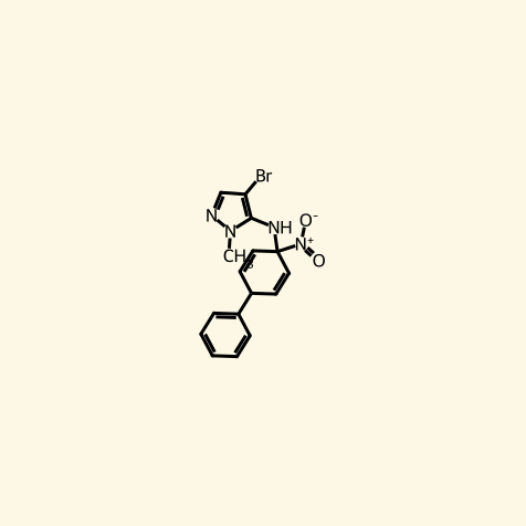 Cn1ncc(Br)c1NC1([N+](=O)[O-])C=CC(c2ccccc2)C=C1